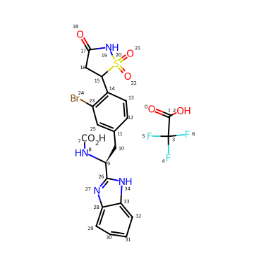 O=C(O)C(F)(F)F.O=C(O)N[C@@H](Cc1ccc(C2CC(=O)NS2(=O)=O)c(Br)c1)c1nc2ccccc2[nH]1